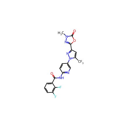 Cn1nc(-c2cc(C(F)(F)F)n(-c3ccc(NC(=O)c4cccc(F)c4F)nc3)n2)oc1=O